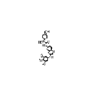 COc1cc(Nc2cnc3ccc(NC(=O)N(S)C4CCN(O)CC4)nc3n2)cc(OC)c1OC